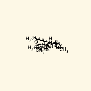 CCC(=O)CCCCC[C@H](NC(=O)[C@H]1CC12CCN(C)CC2)c1ncc(Br)n1COCC[Si](C)(C)C